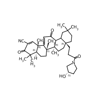 CC1(C)CC[C@]2(CCC(=O)N3CC[C@H](O)C3)CC[C@]3(C)C(C(=O)C=C4[C@@]5(C)C=C(C#N)C(=O)C(C)(C)[C@@H]5CC[C@]43C)C2C1